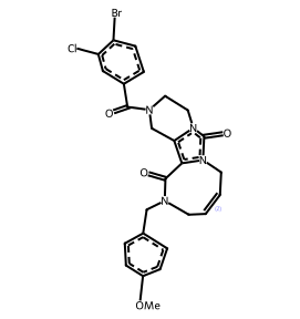 COc1ccc(CN2C/C=C\Cn3c(c4n(c3=O)CCN(C(=O)c3ccc(Br)c(Cl)c3)C4)C2=O)cc1